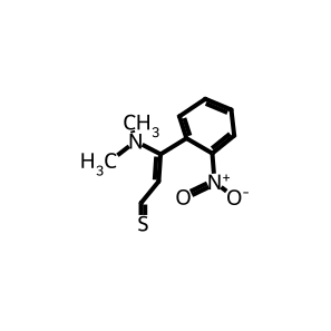 CN(C)C(=CC=S)c1ccccc1[N+](=O)[O-]